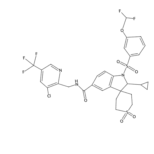 O=C(NCc1ncc(C(F)(F)F)cc1Cl)c1ccc2c(c1)C1(CCS(=O)(=O)CC1)C(C1CC1)N2S(=O)(=O)c1cccc(OC(F)F)c1